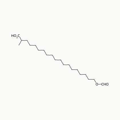 CC(CCCCCCCCCCCCCCCCCOC=O)C(=O)O